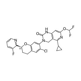 O=C1Nc2cc(OC(F)F)nc(C3CC3)c2CN1c1cc2c(cc1Cl)CC[C@@H](c1ncccc1F)O2